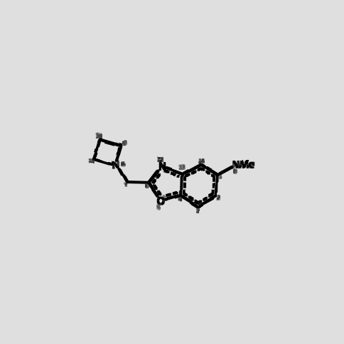 CNc1ccc2oc(CN3CCC3)nc2c1